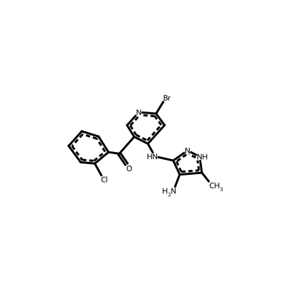 Cc1[nH]nc(Nc2cc(Br)ncc2C(=O)c2ccccc2Cl)c1N